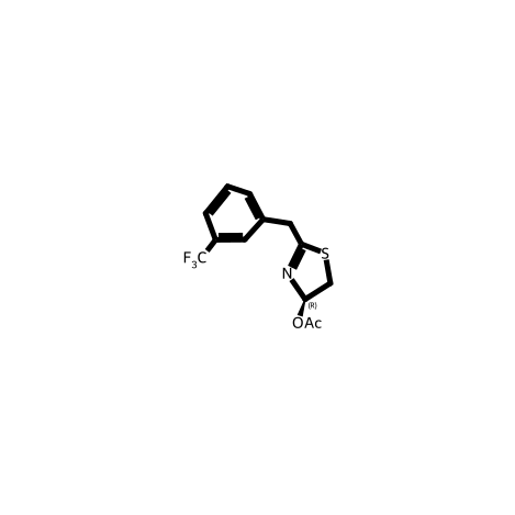 CC(=O)O[C@@H]1CSC(Cc2cccc(C(F)(F)F)c2)=N1